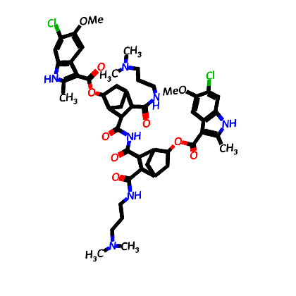 COc1cc2c(C(=O)OC3CC4CC3C(C(=O)NC(=O)C3C5CC(CC5OC(=O)c5c(C)[nH]c6cc(Cl)c(OC)cc56)C3C(=O)NCCCN(C)C)C4C(=O)NCCCN(C)C)c(C)[nH]c2cc1Cl